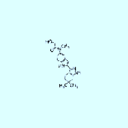 CN(C(=O)CO)C1=Cc2cc(-c3n[nH]c4c3CCC(C)(C)C4)[nH]c2CC1